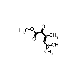 COC(=O)C(=O)C(C)=CN(C)C